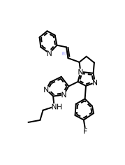 CCCNc1nccc(-c2c(-c3ccc(F)cc3)nc3n2C(/C=C/c2ccccn2)CC3)n1